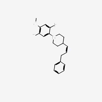 COc1cc(F)c(N2CCC(/C=C\Cc3ccccc3)CC2)cc1F